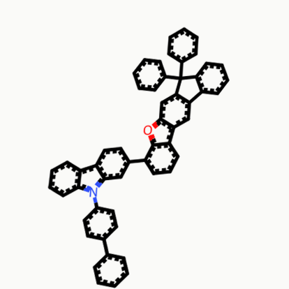 c1ccc(-c2ccc(-n3c4ccccc4c4ccc(-c5cccc6c5oc5cc7c(cc56)-c5ccccc5C7(c5ccccc5)c5ccccc5)cc43)cc2)cc1